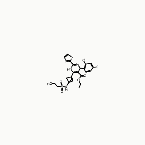 CCOC(=O)C1=C(C23CC(NS(=O)(=O)CCO)(C2)C3)NC(c2nccs2)=NC1c1ccc(F)cc1Cl